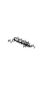 CC(C)=CCC/C(C)=C/CC/C(C)=C/CC/C(C)=C/C(=O)NCCN